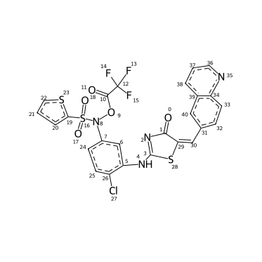 O=C1N=C(Nc2cc(N(OC(=O)C(F)(F)F)S(=O)(=O)c3cccs3)ccc2Cl)SC1=Cc1ccc2ncccc2c1